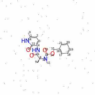 Cc1ccc(NC(=O)[C@H](C)N(C)C(=O)OCc2ccccc2)c(=O)[nH]1